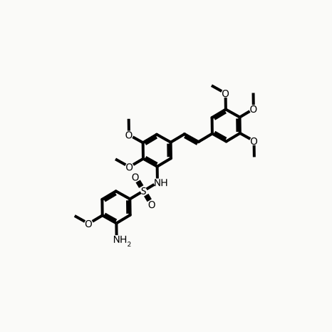 COc1ccc(S(=O)(=O)Nc2cc(C=Cc3cc(OC)c(OC)c(OC)c3)cc(OC)c2OC)cc1N